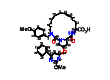 COc1ccc(CN2CCCCCC=CCCC(C(=O)O)NC(=O)C3CC(Oc4cc(-c5ccccc5)nc(OC)n4)C[N+]3C2=O)cc1